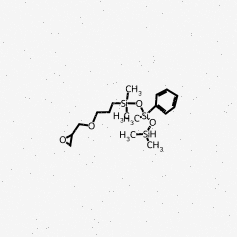 C[SiH](C)O[Si](C)(O[Si](C)(C)CCCOCC1CO1)c1ccccc1